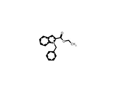 CCOC(=O)c1cc2ccccc2n1Cc1ccccc1